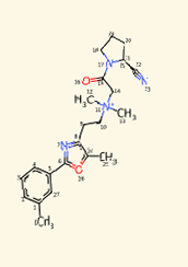 Cc1cccc(-c2nc(CC[N+](C)(C)CC(=O)N3CCC[C@H]3C#N)c(C)o2)c1